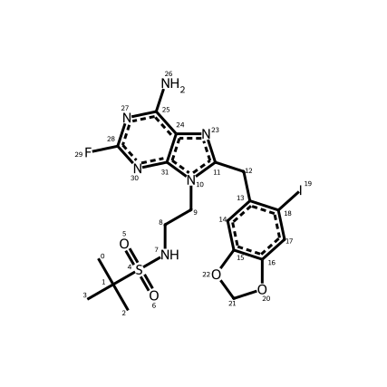 CC(C)(C)S(=O)(=O)NCCn1c(Cc2cc3c(cc2I)OCO3)nc2c(N)nc(F)nc21